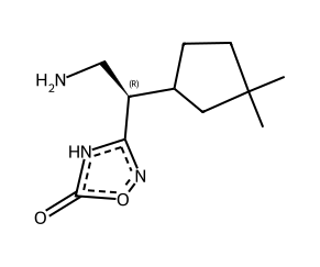 CC1(C)CCC([C@H](CN)c2noc(=O)[nH]2)C1